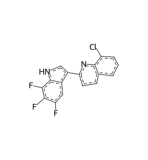 Fc1cc2c(-c3ccc4cccc(Cl)c4n3)c[nH]c2c(F)c1F